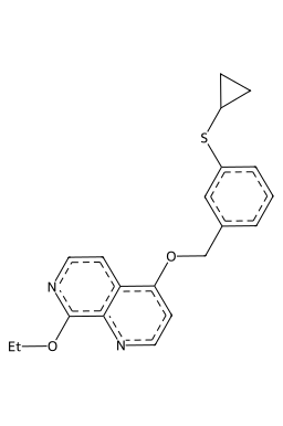 CCOc1nccc2c(OCc3cccc(SC4CC4)c3)ccnc12